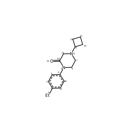 CCc1ccc(N2CCN(C3CCC3)CC2=O)cc1